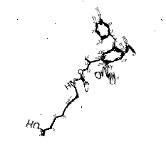 C=C(O)CCCCCNC(=O)OCC(C)c1cc(Sc2ccccc2)c(CC)cc1[N+](=O)[O-]